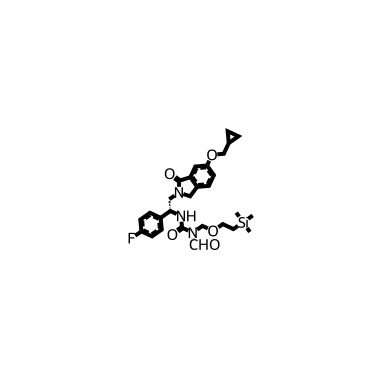 C[Si](C)(C)CCOCN(C=O)C(=O)N[C@@H](CN1Cc2ccc(OCC3CC3)cc2C1=O)c1ccc(F)cc1